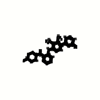 CN1CCC(Nc2ccccc2Sc2ccc(-c3cc(I)ncn3)c(C(F)(F)F)c2C(F)(F)F)CC1